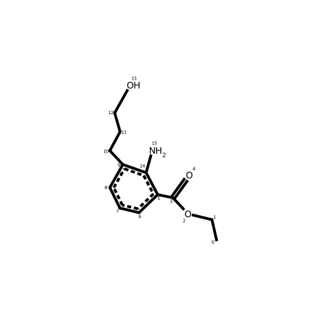 CCOC(=O)c1cccc(CCCO)c1N